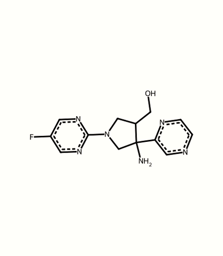 NC1(c2cnccn2)CN(c2ncc(F)cn2)CC1CO